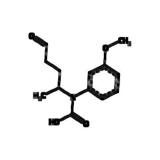 COc1cccc(N(C(=O)O)C(C)CCC=O)c1